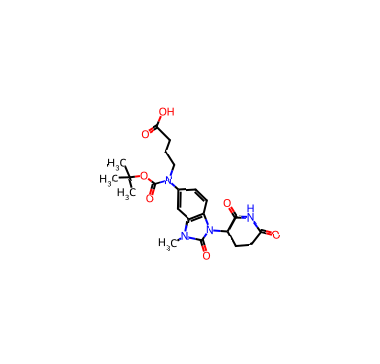 Cn1c(=O)n(C2CCC(=O)NC2=O)c2ccc(N(CCCC(=O)O)C(=O)OC(C)(C)C)cc21